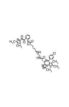 Cc1nc(NC(=O)c2ccccc2NC(=O)CCCCCNCCNC(=O)C[C@@H]2N=C(c3ccc(Cl)cc3)c3c(sc(C)c3C)-n3c(C)nnc32)sc1C